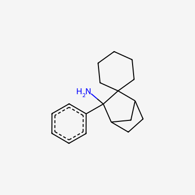 NC1(c2ccccc2)C2CCC(C2)C12CCCCC2